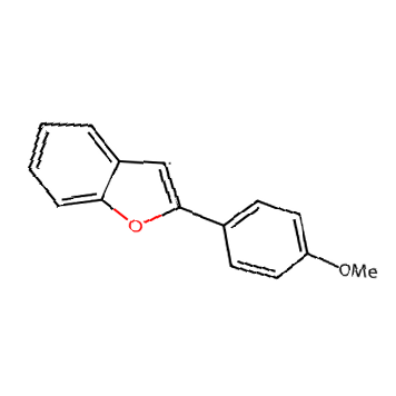 COc1ccc(-c2[c]c3ccccc3o2)cc1